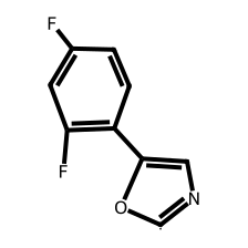 Fc1ccc(-c2cn[c]o2)c(F)c1